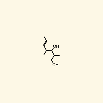 C/C=C/C(C)C(O)C(C)CO